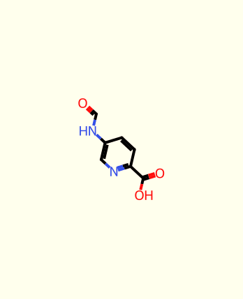 O=CNc1ccc(C(=O)O)nc1